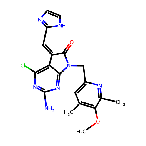 COc1c(C)cc(CN2C(=O)C(=Cc3ncc[nH]3)c3c(Cl)nc(N)nc32)nc1C